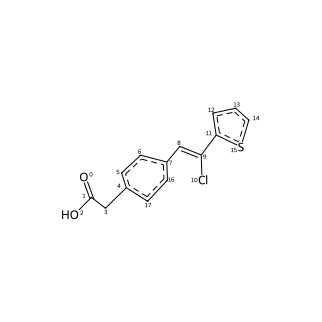 O=C(O)Cc1ccc(/C=C(\Cl)c2cccs2)cc1